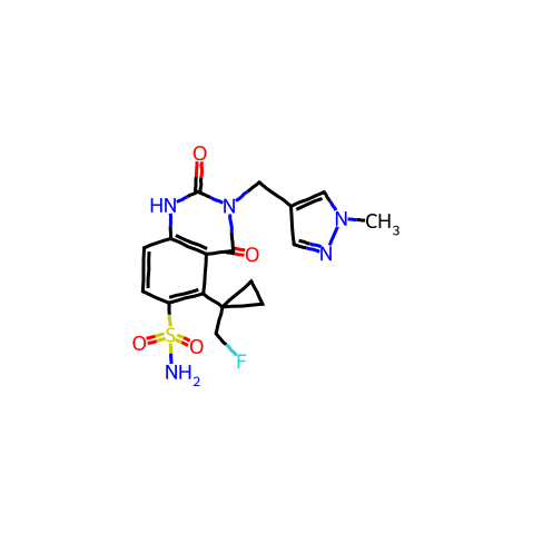 Cn1cc(Cn2c(=O)[nH]c3ccc(S(N)(=O)=O)c(C4(CF)CC4)c3c2=O)cn1